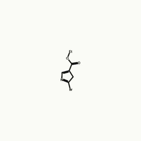 CCOC(=O)C1=CN=C(Br)C1